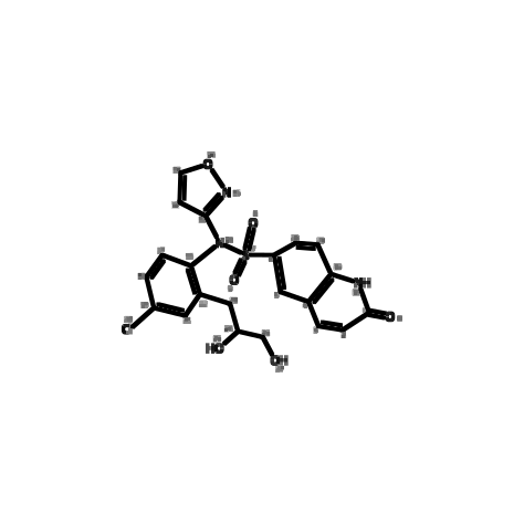 O=c1ccc2cc(S(=O)(=O)N(c3ccon3)c3ccc(Cl)cc3CC(O)CO)ccc2[nH]1